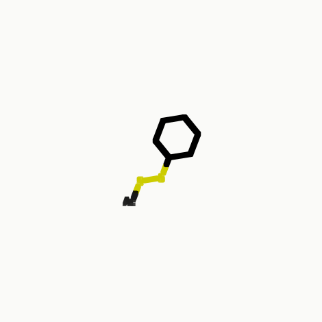 CC(=O)SSC1CCCCC1